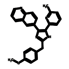 COc1ccc(Cc2nc(-c3ccc4ncccc4c3)c(-c3cccc(C)n3)[nH]2)cc1